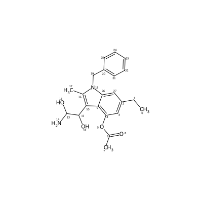 CCc1cc(OC(C)=O)c2c(C(O)C(N)O)c(C)n(Cc3ccccc3)c2c1